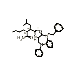 CCCC[C@H](C(N)=O)[C@@H](CC(C)C)C(=O)NC1CN(c2ccccc2)c2ccccc2N(CCc2ccccc2)C1=O